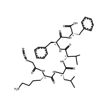 CC(C)C[C@H](NC(=O)[C@H](CCCCN)NC(=O)CN=[N+]=[N-])C(=O)N[C@H](C(=O)N[C@@H](Cc1ccccc1)C(=O)N[C@@H](Cc1ccccc1)C(=O)O)C(C)C